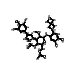 COC1C(Sc2cc(Cl)c(Cl)nc2N2CC3(COC3)C2)OC(COC(C)=O)C(OC(C)=O)C1n1cc(-c2cc(F)c(Cl)c(F)c2)nn1